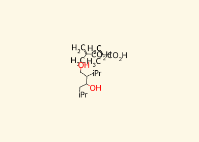 C=C(C)C(=O)O.C=C(C)C(=O)O.CC(C)CC(O)C(CO)C(C)C